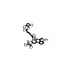 CCN(CC)C(=O)[C@@H]1C=C2c3cccc4[nH]cc(c34)C[C@H]2N(C(=O)CCCC(=O)ON2C(=O)CCC2=O)C1